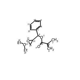 C=C(C)C(=O)OC(c1ccccc1)C1CO1.CCOCC